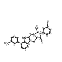 Cc1cccc(-c2cccc3c2NC2CN4C(CC32)C(=O)N(c2cccc(F)c2)C4O)c1